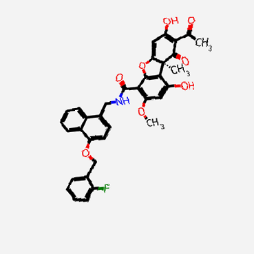 COc1cc(O)c2c(c1C(=O)NCc1ccc(OCc3ccccc3F)c3ccccc13)OC1=CC(O)=C(C(C)=O)C(=O)[C@]12C